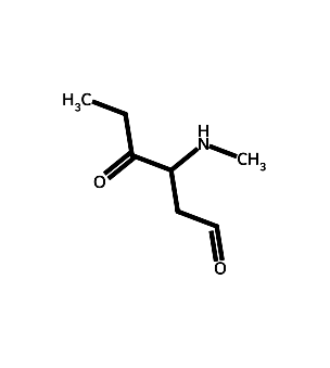 CCC(=O)C(CC=O)NC